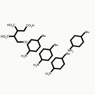 CCC(C)C1CCC(N)CC1.CCC(C)C1CCC(N)CC1.CCC(C)C1CCC(N)CC1.CCC(C)C1CCC(N)CC1.O=C(O)CC(C(=O)O)C(CC(=O)O)C(=O)O